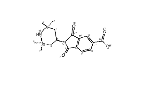 CC1(C)CC(N2C(=O)c3ccc(C(=O)O)cc3C2=O)CC(C)(C)N1